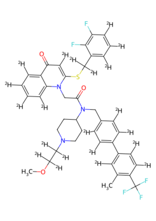 [2H]c1c([2H])c(F)c(F)c(C([2H])([2H])Sc2c([2H])c(=O)c3c([2H])c([2H])c([2H])c([2H])c3n2CC(=O)N(Cc2c([2H])c([2H])c(-c3c([2H])c([2H])c(C(F)(F)F)c(C)c3[2H])c([2H])c2[2H])C2CCN(C([2H])([2H])C([2H])([2H])OC)CC2)c1[2H]